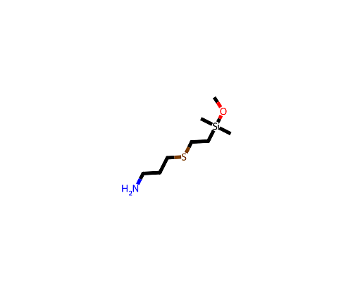 CO[Si](C)(C)CCSCCCN